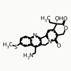 CC[C@@]1(O)C(=O)OCc2c1cc1n(c2=O)Cc2c-1nc1ccc(SC)cc1c2CN